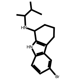 CC(C)C(C)NC1CCCc2c1[nH]c1ccc(Br)cc21